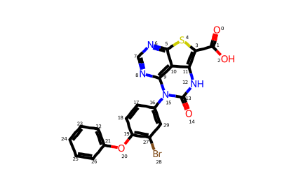 O=C(O)c1sc2ncnc3c2c1NC(=O)N3c1ccc(Oc2ccccc2)c(Br)c1